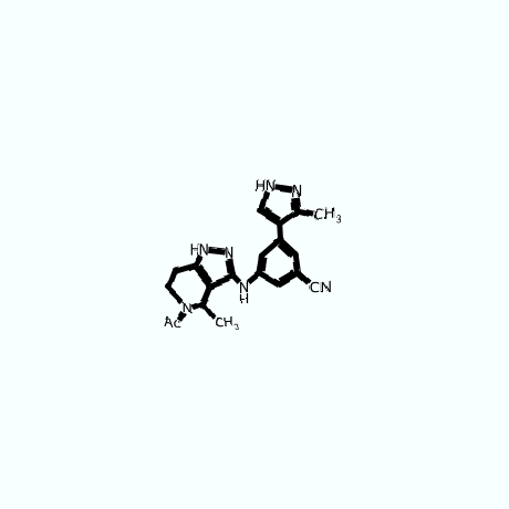 CC(=O)N1CCc2[nH]nc(Nc3cc(C#N)cc(-c4c[nH]nc4C)c3)c2C1C